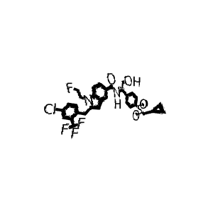 O=C(N[C@@H](CO)c1ccc(S(=O)(=O)CC2CC2)cc1)c1ccc2c(c1)cc(Cc1ccc(Cl)cc1C(F)(F)F)n2CCF